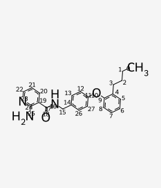 CCCCc1ccccc1Oc1ccc(CNC(=O)c2cccnc2N)cc1